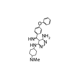 CNC1CCC(NC2=NC=NC(N)C2C(=N)c2ccc(Oc3ccccc3)cc2)CC1